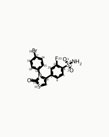 NS(=O)(=O)c1ccc(-c2csc(=O)n2-c2ccc(Br)cc2)cc1F